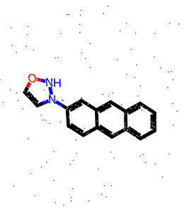 [c]1c(N2C=CON2)ccc2cc3ccccc3cc12